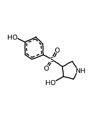 O=S(=O)(c1ccc(O)cc1)C1CNCC1O